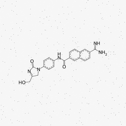 N=C(N)c1ccc2cc(C(=O)Nc3ccc(N4CC(CO)=NC4=O)cc3)ccc2c1